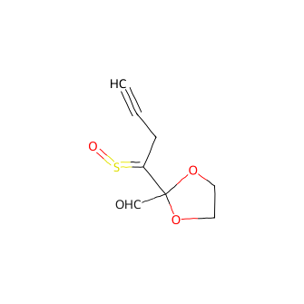 C#CCC(=S=O)C1(C=O)OCCO1